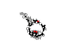 C=C1C[C@@H]2CCC(=O)C[C@H]3O[C@H]4[C@@H](O)[C@H]5O[C@H](CC[C@@H]5O[C@H]4[C@H]3O)CC(=O)CC3[C@H](CC4O[C@@H](CCC1O2)C[C@@H](C)C4=C)O[C@H](C[C@H](O)CNC(=O)OC(C)(C)C)[C@@H]3C